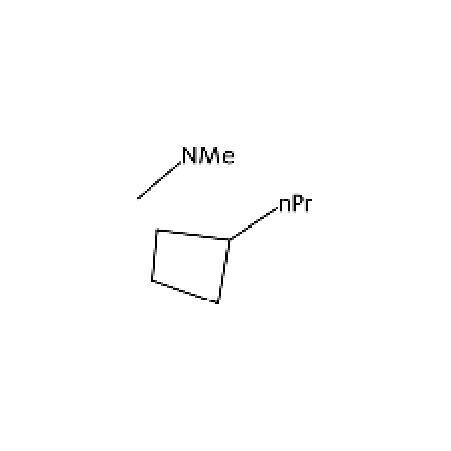 CCCC1CCC1.CNC